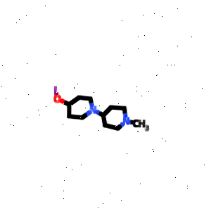 CN1CCC(N2CCC(OI)CC2)CC1